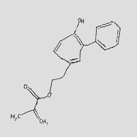 C=C(C)C(=O)OCCc1ccc(O)c(-c2ccccc2)c1